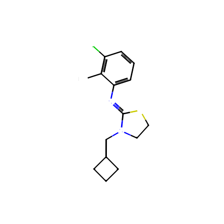 Cc1c(Cl)cccc1/N=C1\SCCN1CC1CCC1